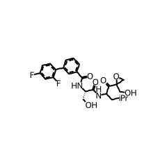 CC(C)CC(NC(=O)[C@H](CO)NC(=O)c1cccc(-c2ccc(F)cc2F)c1)C(=O)C1(CO)CO1